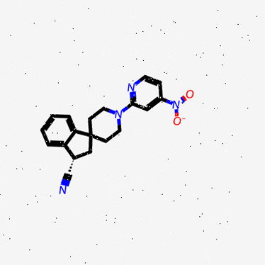 N#C[C@H]1CC2(CCN(c3cc([N+](=O)[O-])ccn3)CC2)c2ccccc21